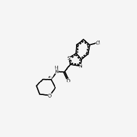 O=C(N[C@@H]1CCCOC1)c1nc2cc(Cl)ccc2s1